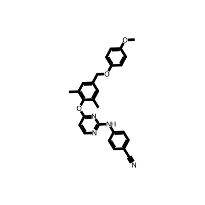 COc1ccc(OCc2cc(C)c(Oc3ccnc(Nc4ccc(C#N)cc4)n3)c(C)c2)cc1